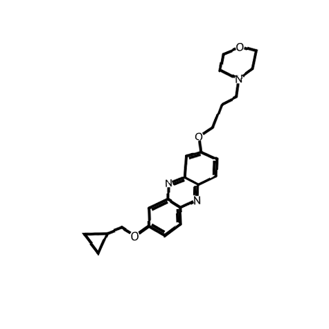 c1cc2nc3ccc(OCC4CC4)cc3nc2cc1OCCCN1CCOCC1